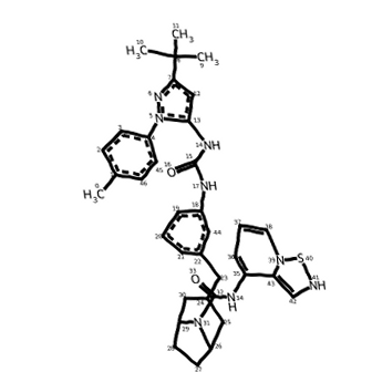 Cc1ccc(-n2nc(C(C)(C)C)cc2NC(=O)Nc2cccc(CC3CC4CCC(C3)N4C(=O)NC3=CC=CN4SNC=C34)c2)cc1